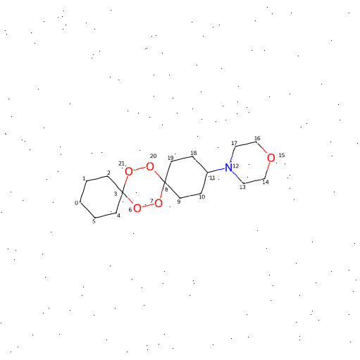 C1CCC2(CC1)OOC1(CCC(N3CCOCC3)CC1)OO2